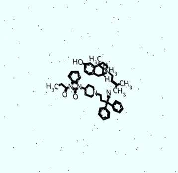 CC(C)=CCN1CC[C@@]2(C)c3cc(O)ccc3C[C@@H]1[C@@H]2C.CCC(=O)n1c(=O)n(C2CCN(CCC(C#N)(c3ccccc3)c3ccccc3)CC2)c2ccccc21